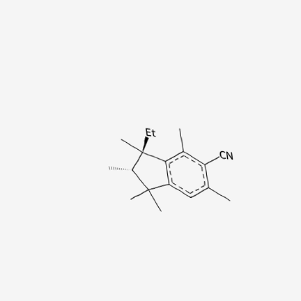 CC[C@@]1(C)c2c(cc(C)c(C#N)c2C)C(C)(C)[C@@H]1C